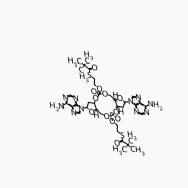 CC(C)(C)C(=O)SCCOP1(=O)OC[C@H]2OC(n3cnc4c(N)ncnc43)C[C@H]2OP(=O)(OCCSC(=O)C(C)(C)C)OC[C@H]2OC(n3cnc4c(N)ncnc43)CC2O1